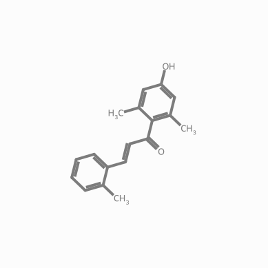 Cc1ccccc1C=CC(=O)c1c(C)cc(O)cc1C